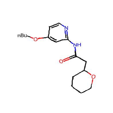 CCCCOc1ccnc(NC(=O)CC2CCCCO2)c1